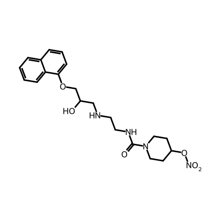 O=C(NCCNCC(O)COc1cccc2ccccc12)N1CCC(O[N+](=O)[O-])CC1